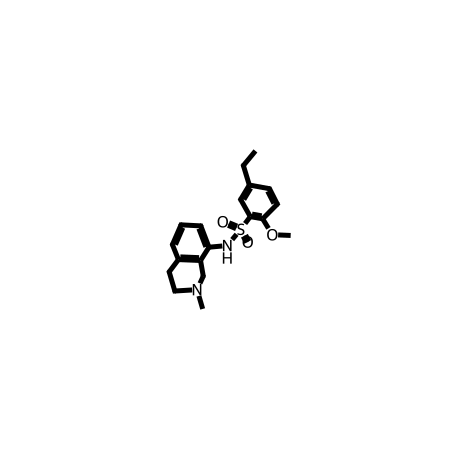 CCc1ccc(OC)c(S(=O)(=O)Nc2cccc3c2CN(C)CC3)c1